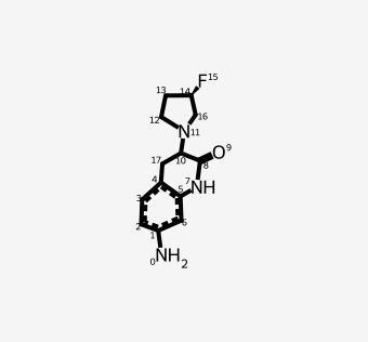 Nc1ccc2c(c1)NC(=O)C(N1CC[C@@H](F)C1)C2